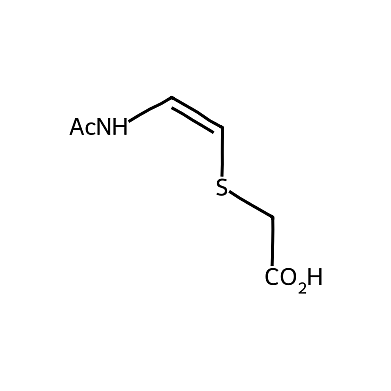 CC(=O)N/C=C\SCC(=O)O